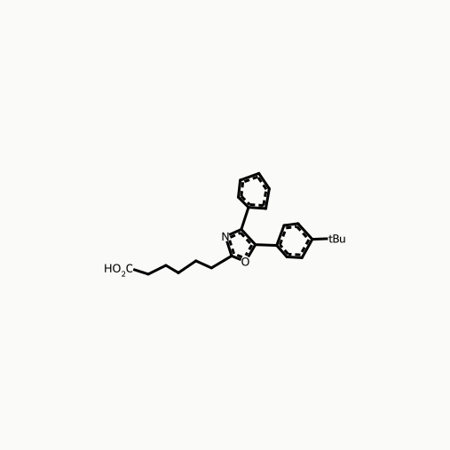 CC(C)(C)c1ccc(-c2oc(CCCCCC(=O)O)nc2-c2ccccc2)cc1